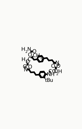 CC(C)(C)c1cc(CCCc2noc(=O)o2)ccc1NC(=O)O.CC(C)(Cc1ccc(CCCc2noc(=O)o2)cc1)OC(N)=O